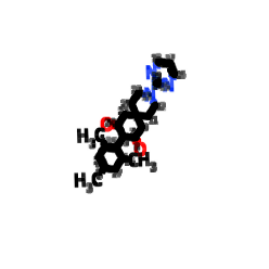 CC1=CC(C)=C(C2C(=O)CC3(CCN(c4ncccn4)CC3)CC2=O)C(C)C1